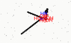 CCCCCCCCCCCCCCCCCCCCCCCCCCN[C@@H](CO[C@H]1O[C@H](COC(=S)Nc2ccc(C(C)(C)C)cc2)[C@H](O)[C@H](O)[C@H]1O)[C@H](O)[C@H](O)CCCCCCCCCCCCCC